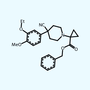 CCOc1cc(C2(C#N)CCN(C3(C(=O)OCc4ccccc4)CC3)CC2)ccc1OC